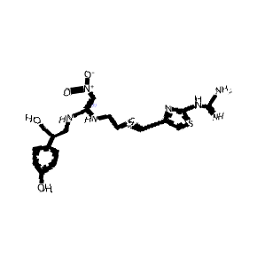 N=C(N)Nc1nc(CSCCN/C(=C/[N+](=O)[O-])NCC(O)c2ccc(O)cc2)cs1